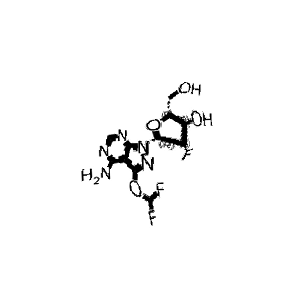 Nc1ncnc2c1c(OC(F)F)nn2[C@@H]1O[C@H](CO)[C@@H](O)[C@@H]1F